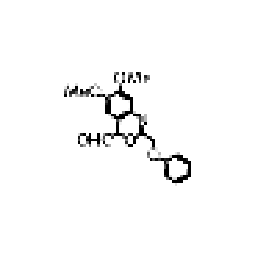 COc1cc2c(cc1OC)C(C=O)OC(COc1ccccc1)=N2